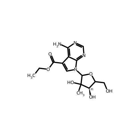 CCOC(=O)c1cn(C2OC(CO)[C@@H](O)C2(C)O)c2ncnc(N)c12